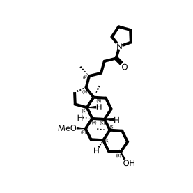 CO[C@@H]1C[C@@H]2C[C@H](O)CC[C@]2(C)[C@H]2CC[C@]3(C)[C@@H]([C@H](C)CCC(=O)N4CCCC4)CC[C@H]3[C@H]12